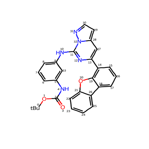 CC(C)(C)OC(=O)Nc1cccc(Nc2nc(-c3cccc4c3oc3ccccc34)cc3ccnn23)c1